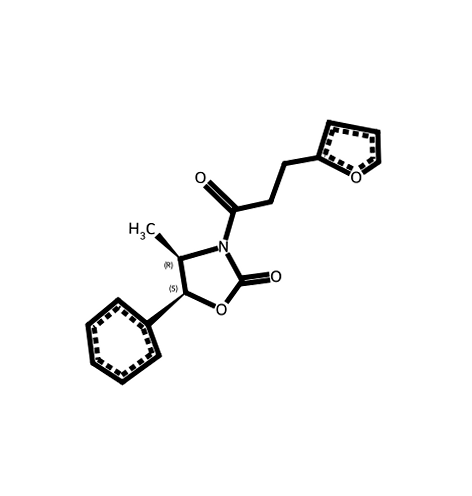 C[C@@H]1[C@H](c2ccccc2)OC(=O)N1C(=O)CCc1ccco1